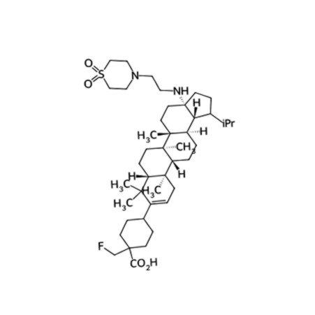 CC(C)C1CC[C@]2(NCCN3CCS(=O)(=O)CC3)CC[C@]3(C)[C@H](CC[C@@H]4[C@@]5(C)CC=C(C6CCC(CF)(C(=O)O)CC6)C(C)(C)[C@@H]5CC[C@]43C)[C@@H]12